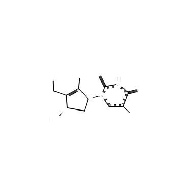 Cc1cn([C@H]2C[C@@H](O)C(CO)=C2F)c(=O)[nH]c1=O